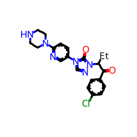 CCC(C(=O)c1ccc(Cl)cc1)n1ncn(-c2ccc(N3CCNCC3)nc2)c1=O